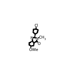 COc1ccc2nc(-c3ccc(Cl)cc3)n(C)c(=O)c2c1